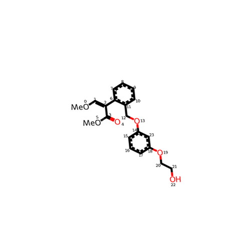 CO/C=C(\C(=O)OC)c1ccccc1COc1cccc(OCCO)c1